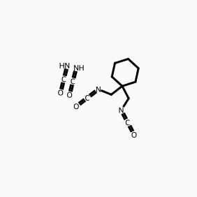 N=C=O.N=C=O.O=C=NCC1(CN=C=O)CCCCC1